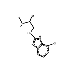 CCC(CNc1nc2ncnc(Cl)c2[nH]1)N(C)C